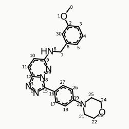 COc1cccc(CNc2ccc3nnc(-c4ccc(N5CCOCC5)cc4)n3n2)c1